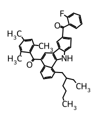 CCCCC(CC)Cc1cccc2c(C(=O)c3c(C)cc(C)cc3C)cc3c4cc(C(=O)c5ccccc5F)ccc4[nH]c3c12